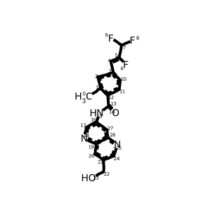 Cc1cc(C=C(F)C(F)F)ccc1C(=O)Nc1cnc2cc(CO)cnc2c1